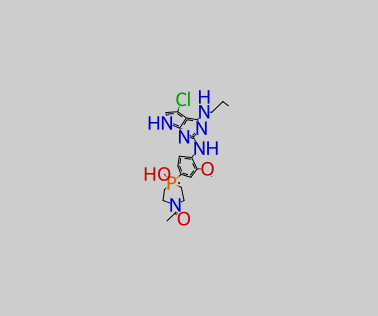 CCCNc1nc(Nc2ccc([P]3(O)CCN(C(C)=O)CC3)cc2OC)nc2[nH]cc(Cl)c12